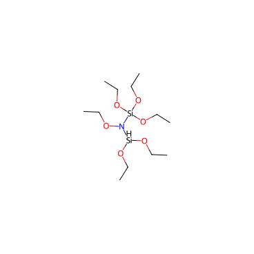 CCON([SiH](OCC)OCC)[Si](OCC)(OCC)OCC